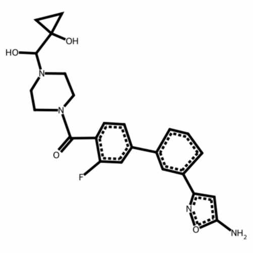 Nc1cc(-c2cccc(-c3ccc(C(=O)N4CCN(C(O)C5(O)CC5)CC4)c(F)c3)c2)no1